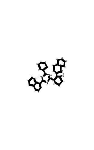 c1ccc(-c2nc(-c3cccc4ccccc34)nc(-c3cccc4oc5c6ccccc6ccc5c34)n2)cc1